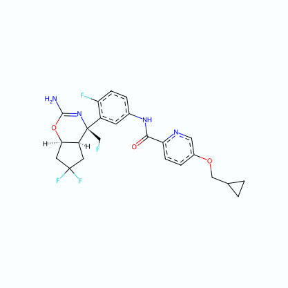 NC1=N[C@](CF)(c2cc(NC(=O)c3ccc(OCC4CC4)cn3)ccc2F)[C@H]2CC(F)(F)C[C@H]2O1